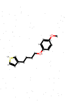 COc1ccc(OCCCCc2ccsc2)cc1